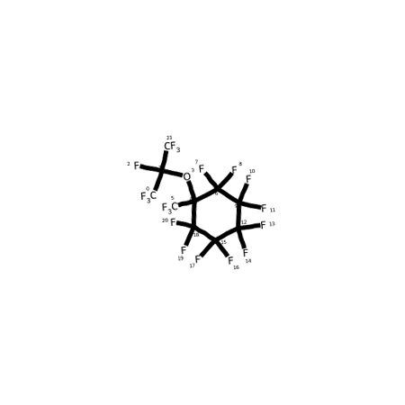 FC(F)(F)C(F)(OC1(C(F)(F)F)C(F)(F)C(F)(F)C(F)(F)C(F)(F)C1(F)F)C(F)(F)F